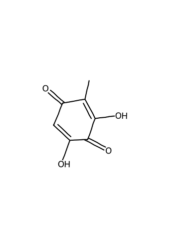 CC1=C(O)C(=O)C(O)=CC1=O